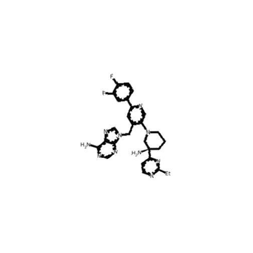 CCc1nccc([C@@]2(N)CCCN(c3cnc(-c4ccc(F)c(F)c4)cc3Cn3cnc4c(N)ncnc43)C2)n1